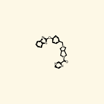 O=C(c1cnccn1)N1CC2CN(Cc3ccc(Oc4nc5ccccc5s4)cc3)CC2C1